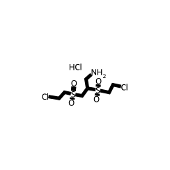 Cl.NCC(CS(=O)(=O)CCCl)S(=O)(=O)CCCl